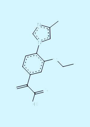 C=C(C(=O)O)c1ccc(-n2cnc(C)c2)c(OCC)c1